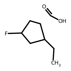 CCC1CCC(F)C1.O=CO